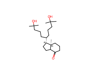 CC(C)(O)CCCC(CCCC(C)(C)O)[C@H]1CCC2C(=O)CCC[C@@]21C